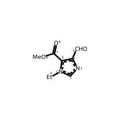 CCn1cnc(C=O)c1C(=O)OC